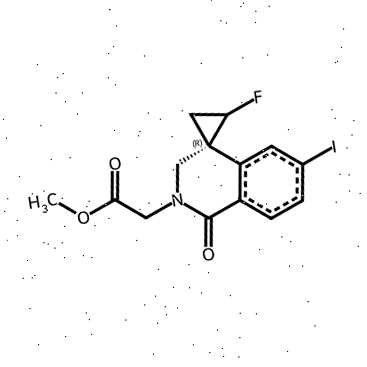 COC(=O)CN1C[C@@]2(CC2F)c2cc(I)ccc2C1=O